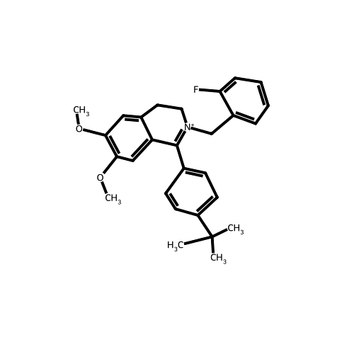 COc1cc2c(cc1OC)C(c1ccc(C(C)(C)C)cc1)=[N+](Cc1ccccc1F)CC2